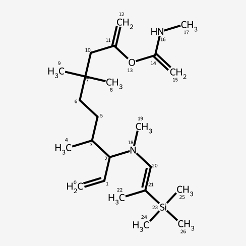 C=CC(C(C)CCC(C)(C)CC(=C)OC(=C)NC)N(C)/C=C(\C)[Si](C)(C)C